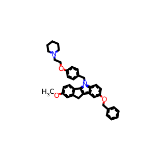 COc1ccc2c(c1)Cc1c-2n(Cc2ccc(OCCN3CCCCC3)cc2)c2ccc(OCc3ccccc3)cc12